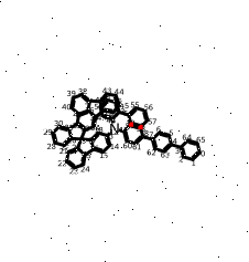 c1ccc(-c2ccc(-c3ccc(N(c4ccc5c(c4)C4(c6ccccc6-5)c5ccccc5-c5c4cc4c6c(cccc56)-c5ccccc5-4)c4ccccc4-c4ccccc4)cc3)cc2)cc1